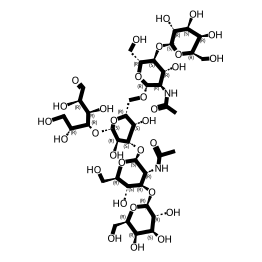 CC(=O)N[C@H]1[C@H](OC[C@H]2O[C@@H](O[C@@H]([C@H](O)[C@@H](O)C=O)[C@H](O)CO)[C@H](O)[C@@H](O[C@@H]3O[C@H](CO)[C@@H](O)[C@H](O[C@@H]4O[C@H](CO)[C@H](O)[C@H](O)[C@H]4O)[C@H]3NC(C)=O)[C@H]2O)O[C@H](CO)[C@@H](O[C@@H]2O[C@H](CO)[C@H](O)[C@H](O)[C@H]2O)[C@@H]1O